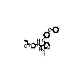 C=CC(=O)N1CCC(Nc2n[nH]c3nccc(Oc4ccc(Oc5ccccc5)cc4)c23)C1